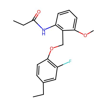 CCC(=O)Nc1cccc(OC)c1COc1ccc(CC)cc1F